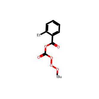 CCc1ccccc1C(=O)OC(=O)OOOC(C)(C)C